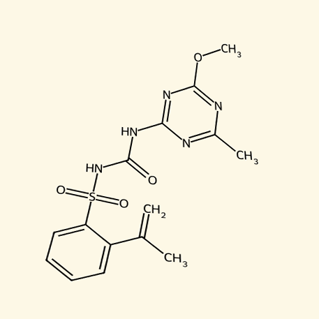 C=C(C)c1ccccc1S(=O)(=O)NC(=O)Nc1nc(C)nc(OC)n1